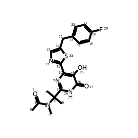 CC(=O)N(C)C(C)(C)c1nc(-c2ncc(Cc3ccc(F)cc3)s2)c(O)c(=O)[nH]1